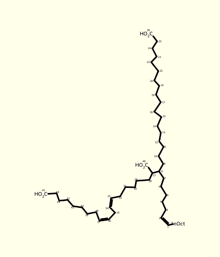 CCCCCCCC/C=C\CCCCCC(CCCCCCCCCCCCCCCCCC(=O)O)C(CCCCC/C=C\C/C=C\CCCCCCCC(=O)O)C(=O)O